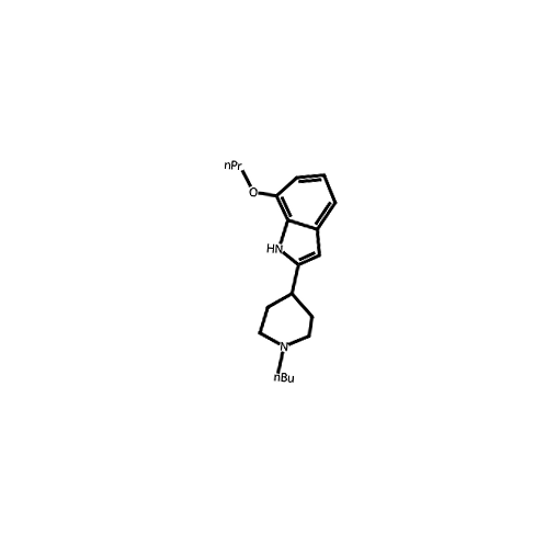 CCCCN1CCC(c2cc3cccc(OCCC)c3[nH]2)CC1